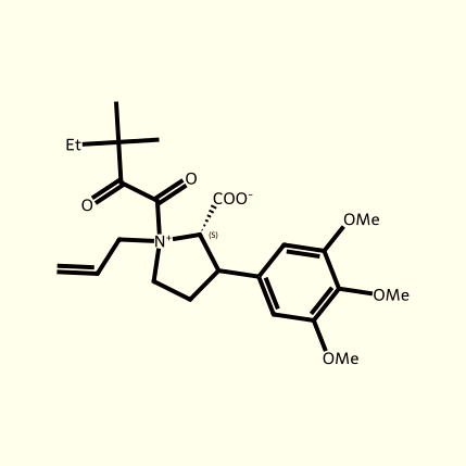 C=CC[N+]1(C(=O)C(=O)C(C)(C)CC)CCC(c2cc(OC)c(OC)c(OC)c2)[C@H]1C(=O)[O-]